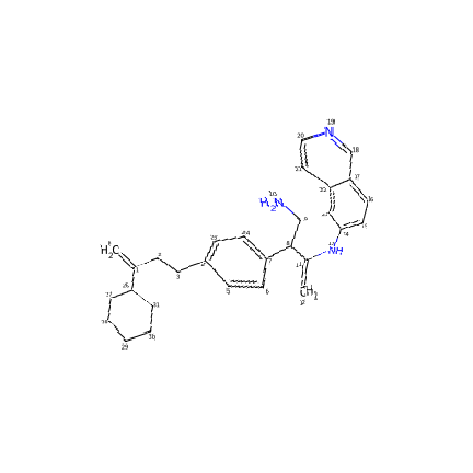 C=C(CCc1ccc(C(CN)C(=C)Nc2ccc3cnccc3c2)cc1)C1CCCCC1